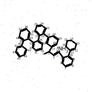 CC(/C=C(\N)c1ccccc1C1=CCCCC1)c1cccc(-c2ccccc2-c2ccccc2-c2ccccc2-c2ccccc2)c1